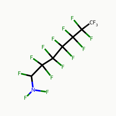 FC(N(F)F)C(F)(F)C(F)(F)C(F)(F)C(F)(F)C(F)(F)C(F)(F)F